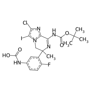 CC(C)(C)OC(=O)NC1=NC(C)(c2cc(NC(=O)O)ccc2F)Cn2c1nc(Cl)c2I